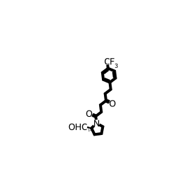 O=C[C@@H]1CCCN1C(=O)CCC(=O)CCc1ccc(C(F)(F)F)cc1